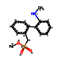 CNc1ccccc1-c1ccccc1CS(=O)(=O)[O][Pd+]